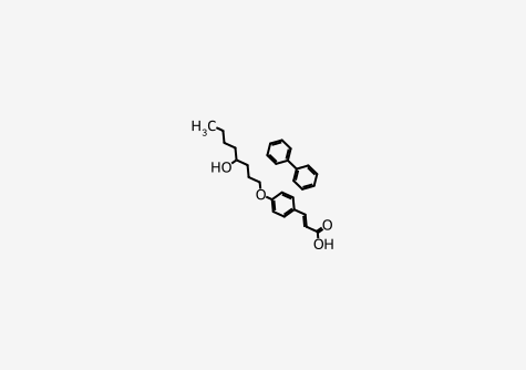 CCCCC(O)CCCOc1ccc(C=CC(=O)O)cc1.c1ccc(-c2ccccc2)cc1